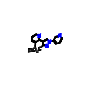 CCOC(=O)c1nn(-c2cccnc2)cc1-c1ncccc1C